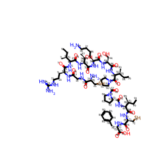 CC[C@H](C)[C@H](NC(=O)[C@H](CCCNC(=N)N)NC(=O)CNC(=O)[C@@H](N)CS)C(=O)N[C@H](C(=O)N[C@@H](CCCCN)C(=O)N[C@@H](CO)C(=O)N[C@H](C(=O)N1CCC[C@H]1C(=O)N1CCC[C@H]1C(=O)N[C@H](C(=O)N[C@@H](CS)C(=O)N[C@@H](Cc1ccccc1)C(=O)O)[C@@H](C)CC)[C@@H](C)CC)[C@@H](C)O